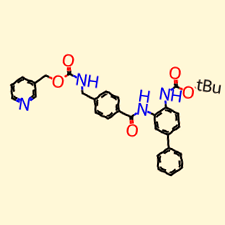 CC(C)(C)OC(=O)Nc1ccc(-c2ccccc2)cc1NC(=O)c1ccc(CNC(=O)OCc2cccnc2)cc1